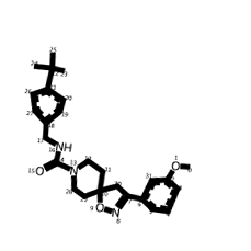 COc1cccc(C2=NOC3(CCN(C(=O)NCc4ccc(C(C)(C)C)cc4)CC3)C2)c1